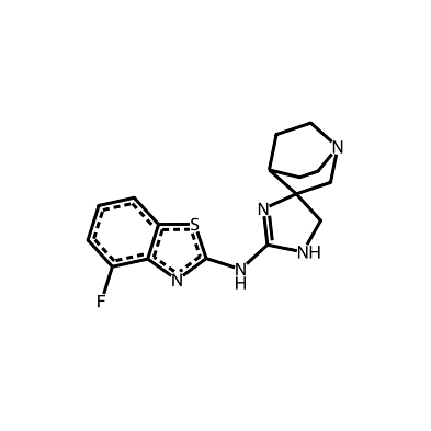 Fc1cccc2sc(NC3=NC4(CN3)CN3CCC4CC3)nc12